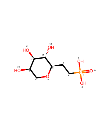 O=P(O)(O)CC[C@H]1OC[C@@H](O)[C@@H](O)[C@@H]1O